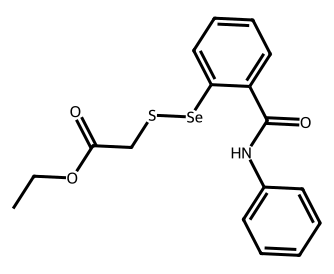 CCOC(=O)CS[Se]c1ccccc1C(=O)Nc1ccccc1